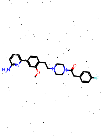 COc1cc(-c2cccc(N)n2)ccc1CCN1CCN(C(=O)Cc2ccc(F)cc2)CC1